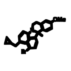 COc1ccc2c(c1)CCN(c1ccc(CC3CC3)cc1)C2(C)c1ccc(Br)cc1